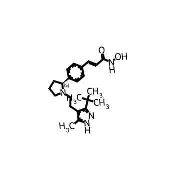 Cc1[nH]nc(C(C)(C)C)c1CCN1CCC[C@H]1c1ccc(C=CC(=O)NO)cc1